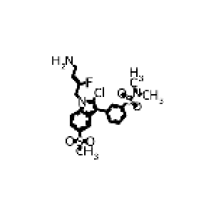 CN(C)S(=O)(=O)c1cccc(-c2c(Cl)n(CC(F)=CCN)c3ccc(S(C)(=O)=O)cc23)c1